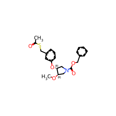 CO[C@@H]1CN(C(=O)OCc2ccccc2)C[C@H]1Oc1cccc(CSC(C)=O)c1